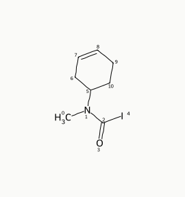 CN(C(=O)I)C1CC=CCC1